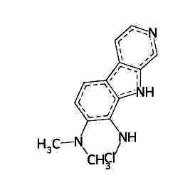 CN(C)c1ccc2c([nH]c3cnccc32)c1NCl